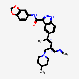 C=N/C=C(\C=C(/C)c1ccc2[nH]nc(C(=O)Nc3ccc4c(c3)OCO4)c2c1)CN1CCC(C)CC1